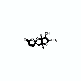 C[C@H]1O[C@@H]2C[C@]3(C=CC(=O)O3)O[C@@H]2[C@H]1O